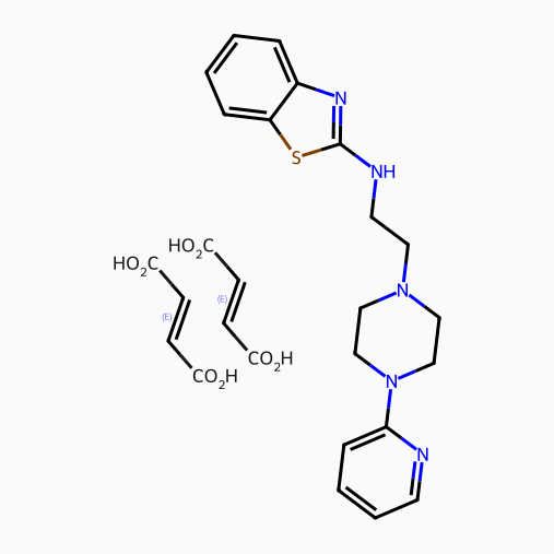 O=C(O)/C=C/C(=O)O.O=C(O)/C=C/C(=O)O.c1ccc(N2CCN(CCNc3nc4ccccc4s3)CC2)nc1